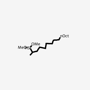 CCCCCCCCCCCCCCCC(C)[SiH](OC)OC